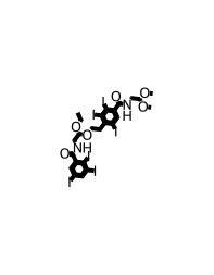 CCOC(CNC(=O)c1cc(I)cc(I)c1I)OCCc1c(I)cc(C(=O)NCC(OC)OC)c(I)c1I